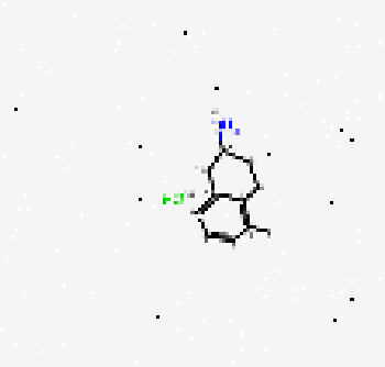 Cc1cccc2c1CCC(N)C2.Cl